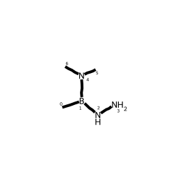 CB(NN)N(C)C